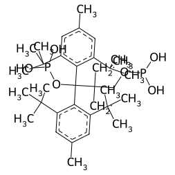 [CH2]C([CH2])(COP(O)O)C(OP(O)O)(c1c(C(C)(C)C)cc(C)cc1C(C)(C)C)c1c(C(C)(C)C)cc(C)cc1C(C)(C)C